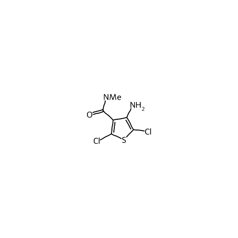 CNC(=O)c1c(Cl)sc(Cl)c1N